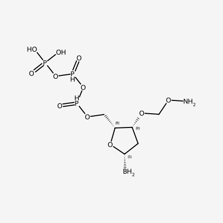 B[C@H]1C[C@@H](OCON)[C@@H](CO[PH](=O)O[PH](=O)OP(=O)(O)O)O1